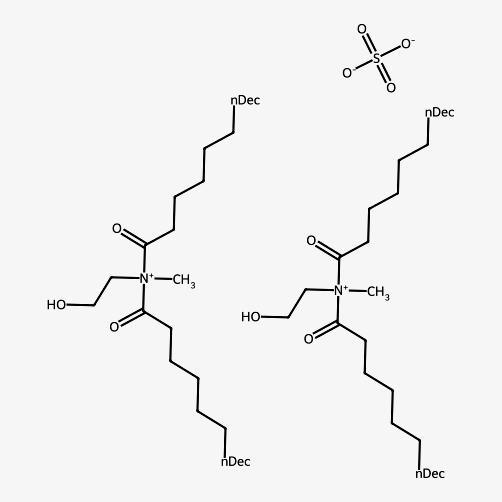 CCCCCCCCCCCCCCCC(=O)[N+](C)(CCO)C(=O)CCCCCCCCCCCCCCC.CCCCCCCCCCCCCCCC(=O)[N+](C)(CCO)C(=O)CCCCCCCCCCCCCCC.O=S(=O)([O-])[O-]